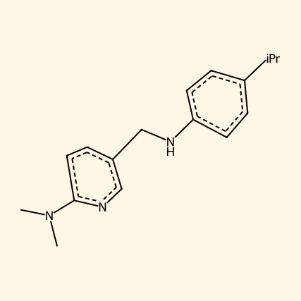 CC(C)c1ccc(NCc2ccc(N(C)C)nc2)cc1